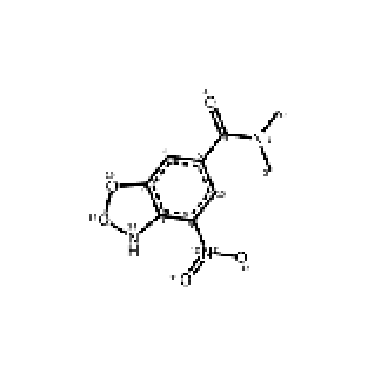 CN(C)C(=O)c1cc2c(c([N+](=O)[O-])c1)NOO2